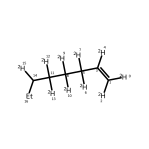 [2H]C([2H])=C([2H])C([2H])([2H])C([2H])([2H])C([2H])([2H])C([2H])CC